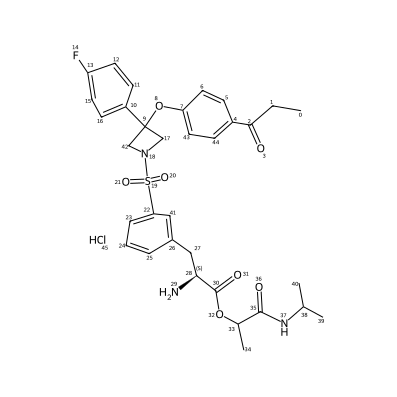 CCC(=O)c1ccc(OC2(c3ccc(F)cc3)CN(S(=O)(=O)c3cccc(C[C@H](N)C(=O)OC(C)C(=O)NC(C)C)c3)C2)cc1.Cl